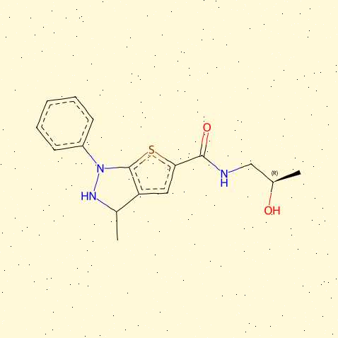 CC1NN(c2ccccc2)c2sc(C(=O)NC[C@@H](C)O)cc21